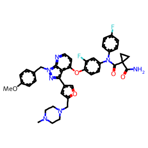 COc1ccc(Cn2nc(-c3coc(CN4CCN(C)CC4)c3)c3c(Oc4ccc(N(C(=O)C5(C(N)=O)CC5)c5ccc(F)cc5)cc4F)ccnc32)cc1